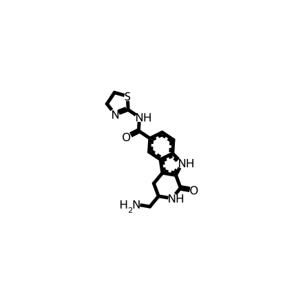 NCC1Cc2c([nH]c3ccc(C(=O)NC4=NCCS4)cc23)C(=O)N1